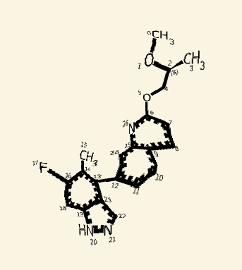 CO[C@@H](C)COc1ccc2ccc(-c3c(C)c(F)cc4[nH]ncc34)cc2n1